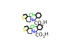 O=C(O)[C@H](c1ccccc1Cl)N1CCc2sccc2C1.O=C(O)[C@H](c1ccccc1Cl)N1CCc2sccc2C1